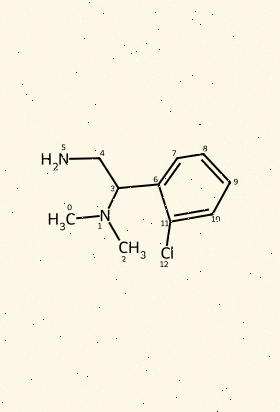 CN(C)C(CN)c1ccccc1Cl